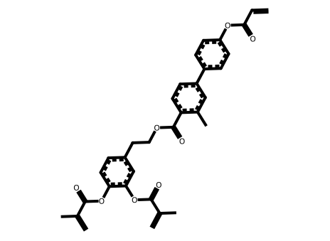 C=CC(=O)Oc1ccc(-c2ccc(C(=O)OCCc3ccc(OC(=O)C(=C)C)c(OC(=O)C(=C)C)c3)c(C)c2)cc1